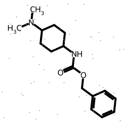 CN(C)C1CCC(NC(=O)OCc2ccccc2)CC1